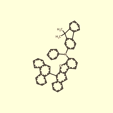 CC1(C)c2ccccc2-c2ccc(N(c3ccccc3)c3cccc4c3oc3c(-c5cc6ccccc6c6ccccc56)c5ccccc5cc34)cc21